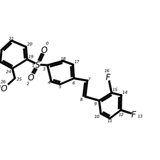 O=S(=O)(c1ccc(C=Cc2ccc(F)cc2F)cc1)c1ccccc1CO